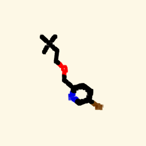 C[Si](C)(C)CCOCc1ccc(Br)cn1